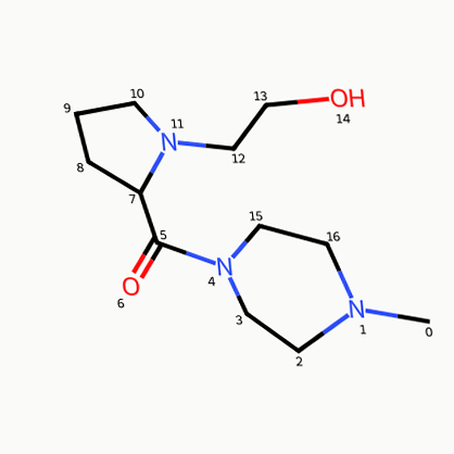 CN1CCN(C(=O)C2CCCN2CCO)CC1